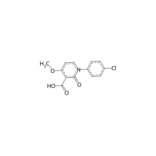 COc1ccn(-c2ccc(Cl)cc2)c(=O)c1C(=O)O